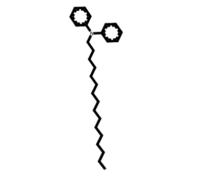 CCCCCCCCCCCCCCCCN(c1ccccc1)c1ccccc1